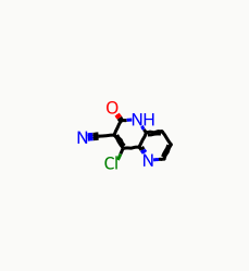 N#Cc1c(Cl)c2ncccc2[nH]c1=O